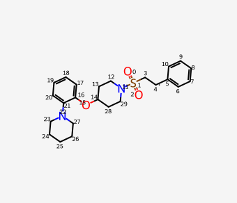 O=S(=O)(C[CH]c1ccccc1)N1CCC(Oc2ccccc2N2CCCCC2)CC1